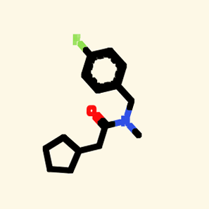 CN(Cc1ccc(F)cc1)C(=O)CC1CCCC1